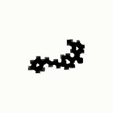 O=C(c1cccc(F)c1)C1CCN(CCCCc2ccccc2)CC1